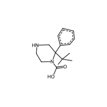 CC(C)(C)C1(c2ccccc2)CNCCN1C(=O)O